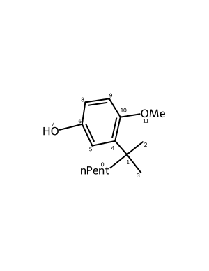 CCCCCC(C)(C)c1cc(O)ccc1OC